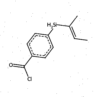 CC=C(C)[SiH2]c1ccc(C(=O)Cl)cc1